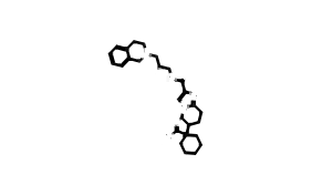 NC(=O)C1(C2CCc3nc(C(=O)NC[C@H](O)CN4CCc5ccccc5C4)cn3C2)CCCCC1